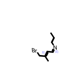 CCC/N=C\C=C(/C)CBr